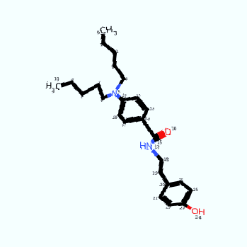 CCCCCN(CCCCC)c1ccc(C(=O)NCCc2ccc(O)cc2)cc1